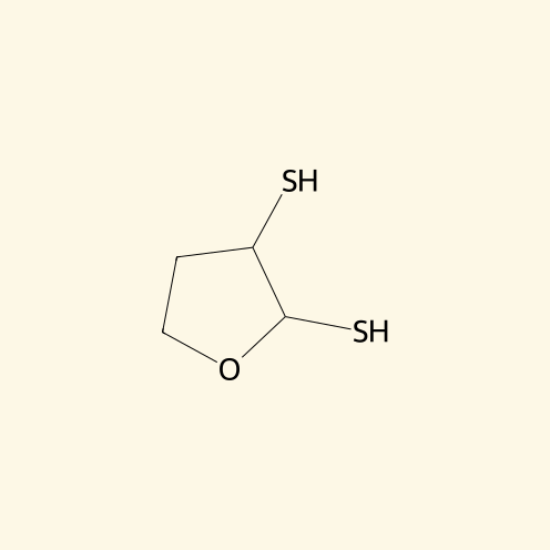 SC1CCOC1S